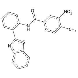 Cc1ccc(C(=O)Nc2ccccc2-c2nc3ccccc3s2)cc1[N+](=O)[O-]